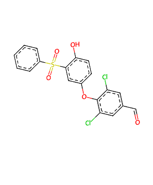 O=Cc1cc(Cl)c(Oc2ccc(O)c(S(=O)(=O)c3ccccc3)c2)c(Cl)c1